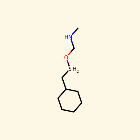 CNCO[SiH2]CC1CCCCC1